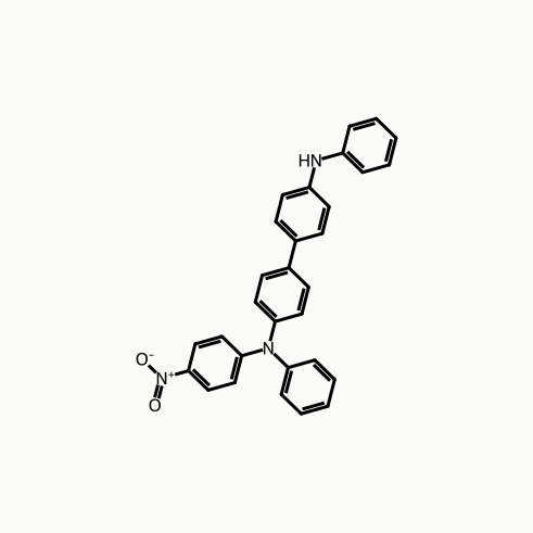 O=[N+]([O-])c1ccc(N(c2ccccc2)c2ccc(-c3ccc(Nc4ccccc4)cc3)cc2)cc1